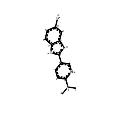 CN(C)c1ccc(-c2nc3cc(Br)ccc3o2)cn1